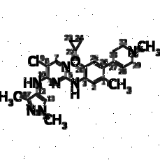 Cc1cc(Nc2ncc(Cl)c(Nc3cn(C)nc3C)n2)c(OC2CC2)cc1C1=CCN(C)CC1